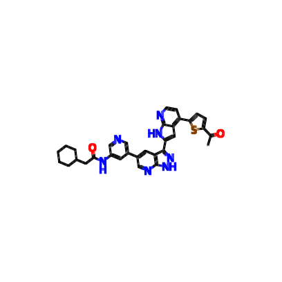 CC(=O)c1ccc(-c2ccnc3[nH]c(-c4n[nH]c5ncc(-c6cncc(NC(=O)CC7CCCCC7)c6)cc45)cc23)s1